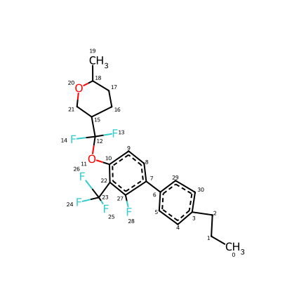 CCCc1ccc(-c2ccc(OC(F)(F)C3CCC(C)OC3)c(C(F)(F)F)c2F)cc1